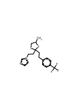 CC1CSC(CCc2ccc(C(F)(F)F)cc2)(CCn2ccnc2)S1